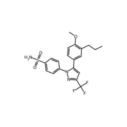 CCCc1cc(-c2cc(C(F)(F)F)nn2-c2ccc(S(N)(=O)=O)cc2)ccc1OC